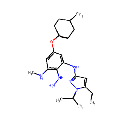 CCc1cc(Nc2cc(OC3CCC(C)CC3)cc(NC)c2NN)nn1C(C)C